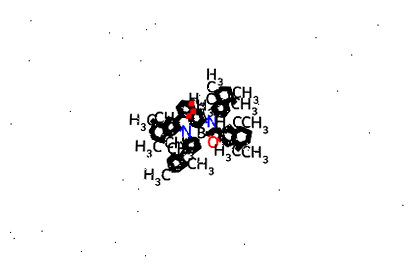 Cc1cc(C)c(-c2ccc3c(c2)N(c2cc4c(cc2-c2ccccc2)C(C)(C)CCC4(C)C)c2cc(C)cc4c2B3c2oc3cc5c(cc3c2N4c2ccc3c(c2)C(C)(C)CCC3(C)C)C(C)(C)CCC5(C)C)c(C)c1